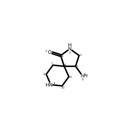 CCCC1CNC(=O)C12CCNCC2